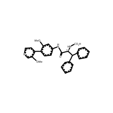 COc1cnccc1-c1ccc(NC(=O)[C@@H](NC(=O)O)C(c2ccccc2)c2ccccc2)cc1OC